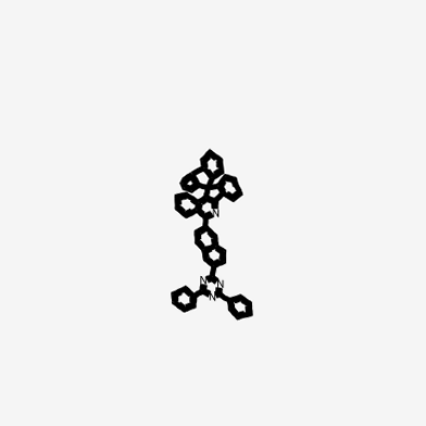 c1ccc(-c2nc(-c3ccccc3)nc(-c3ccc4cc(-c5nc6c(c7ccccc57)C5(c7ccccc7-c7ccccc75)c5ccccc5-6)ccc4c3)n2)cc1